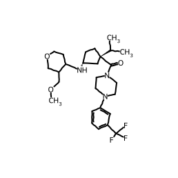 COCC1COCCC1N[C@@H]1CC[C@@](C(=O)N2CCN(c3cccc(C(F)(F)F)c3)CC2)(C(C)C)C1